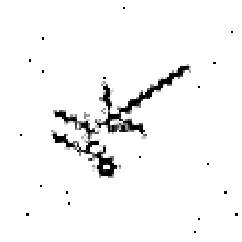 CCCCCCCCCCCCCC[C@@H](OCCCC)[C@@H](OCCCC)[C@H](CO[C@@H](OC1COC(c2ccccc2)O[C@@H]1COCCCC)[C@H](C)OCCCC)N=[N+]=[N-]